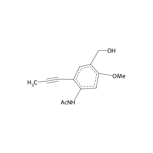 CC#Cc1cc(CO)c(OC)cc1NC(C)=O